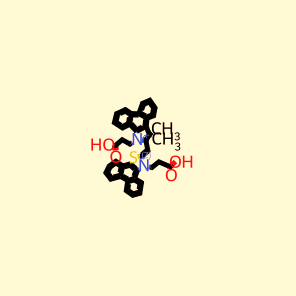 CC1(C)C(/C=C2\Sc3c(c4ccccc4c4ccccc34)N2CCC(=O)O)=[N+](CCC(=O)O)c2c1c1ccccc1c1ccccc21